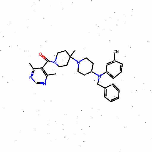 Cc1ncnc(C)c1C(=O)N1CCC(C)(N2CCC(N(Cc3ccccc3)c3cccc(C#N)c3)CC2)CC1